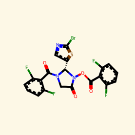 O=C(ON1C(=O)CN(C(=O)c2c(F)cccc2F)[C@@H]1c1cnc(Br)s1)c1c(F)cccc1F